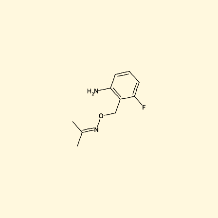 CC(C)=NOCc1c(N)cccc1F